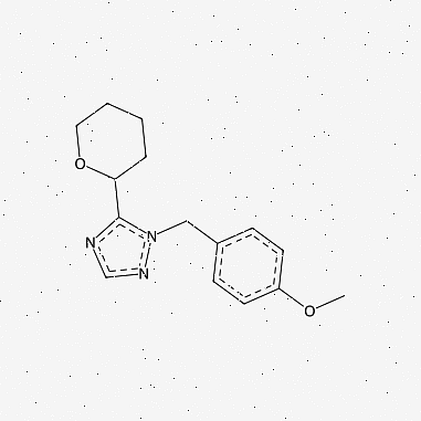 COc1ccc(Cn2ncnc2C2CCCCO2)cc1